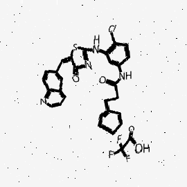 O=C(CCc1ccccc1)Nc1ccc(Cl)c(NC2=NC(=O)C(=Cc3ccc4ncccc4c3)S2)c1.O=C(O)C(F)(F)F